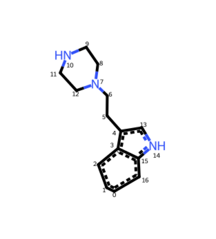 c1ccc2c(CCN3CCNCC3)c[nH]c2c1